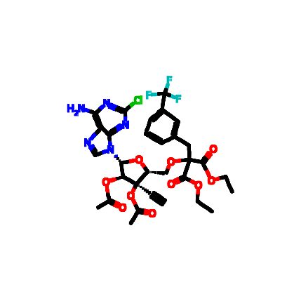 C#C[C@@]1(OC(C)=O)[C@@H](COC(Cc2cccc(C(F)(F)F)c2)(C(=O)OCC)C(=O)OCC)O[C@@H](n2cnc3c(N)nc(Cl)nc32)[C@@H]1OC(C)=O